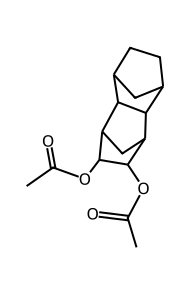 CC(=O)OC1C2CC(C1OC(C)=O)C1C3CCC(C3)C21